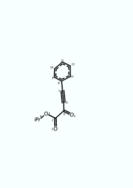 CC(C)OC(=O)C(=O)C#Cc1ccccc1